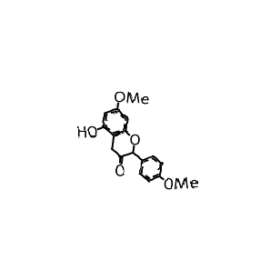 COc1ccc(C2Oc3cc(OC)cc(O)c3CC2=O)cc1